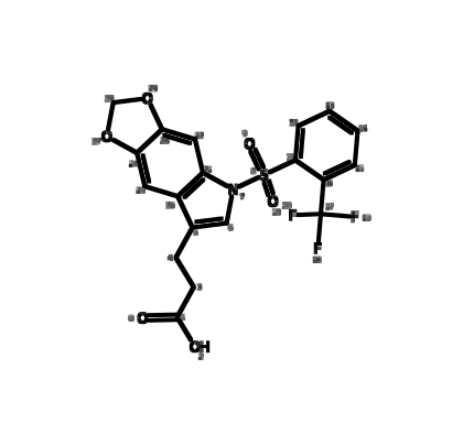 O=C(O)CCc1cn(S(=O)(=O)c2ccccc2C(F)(F)F)c2cc3c(cc12)OCO3